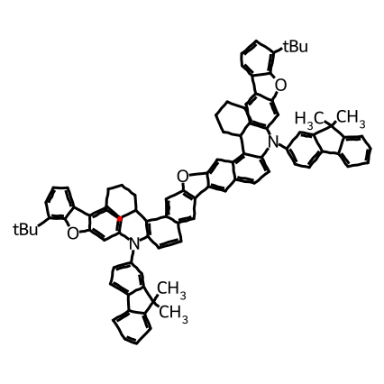 CC(C)(C)c1cccc2c1oc1cc(N(c3ccc4c(c3)C(C)(C)c3ccccc3-4)c3ccc4cc5c(cc4c3C3CCCCC3)oc3cc4c(C6CCCCC6)c(N(c6ccc7c(c6)C(C)(C)c6ccccc6-7)c6ccc7c(c6)oc6c(C(C)(C)C)cccc67)ccc4cc35)ccc12